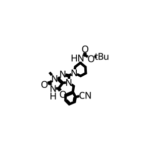 Cn1c(=O)[nH]c(=O)c2c1nc(N1CCCC(NC(=O)OC(C)(C)C)C1)n2Cc1ccccc1C#N